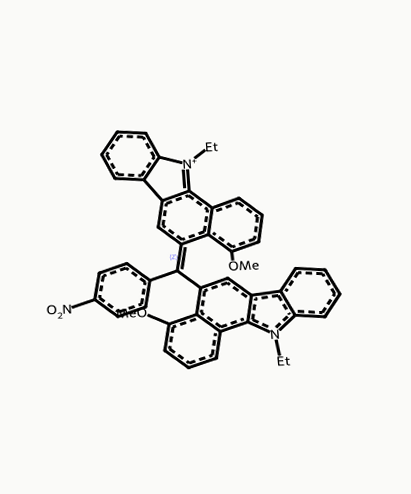 CCn1c2ccccc2c2cc(/C(c3ccc([N+](=O)[O-])cc3)=c3/cc4c(c5cccc(OC)c35)=[N+](CC)c3ccccc3-4)c3c(OC)cccc3c21